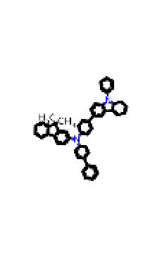 CC1(C)c2ccccc2-c2ccc(N(c3ccc(-c4ccccc4)cc3)c3ccc(-c4ccc5c(c4)C4=CC=CCC4N5c4ccccc4)cc3)cc21